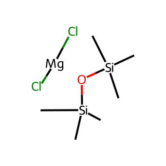 C[Si](C)(C)O[Si](C)(C)C.[Cl][Mg][Cl]